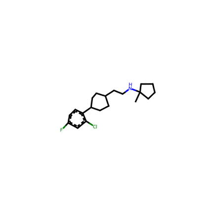 CC1(NCCC2CCC(c3ccc(F)cc3Cl)CC2)CCCC1